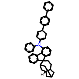 C1=CC(c2ccc(-c3ccccc3)cc2)CC=C1N(c1ccccc1)c1cccc2c1-c1ccccc1C21CCC2CC3CC1C[C@H]2C3